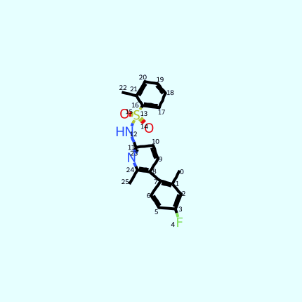 Cc1cc(F)ccc1-c1ccc(NS(=O)(=O)c2ccccc2C)nc1C